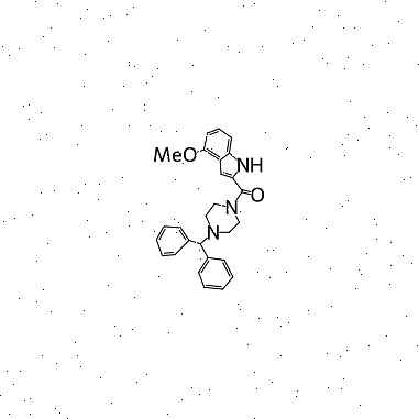 COc1cccc2[nH]c(C(=O)N3CCN(C(c4ccccc4)c4ccccc4)CC3)cc12